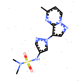 Cc1ccn2ncc(-n3cc(NS(=O)(=O)N(C)C)cn3)c2n1